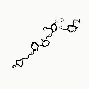 Cc1c(COc2cc(OCc3cncc(C#N)c3)c(C=O)cc2Cl)cccc1-c1cccc(OCCCN2CCC(O)C2)n1